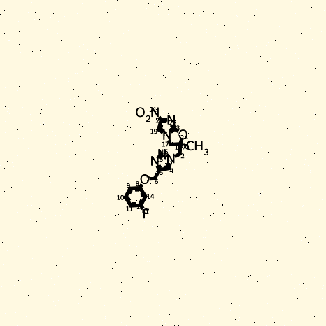 C[C@]1(Cn2cc(COc3cccc(F)c3)nn2)Cn2cc([N+](=O)[O-])nc2O1